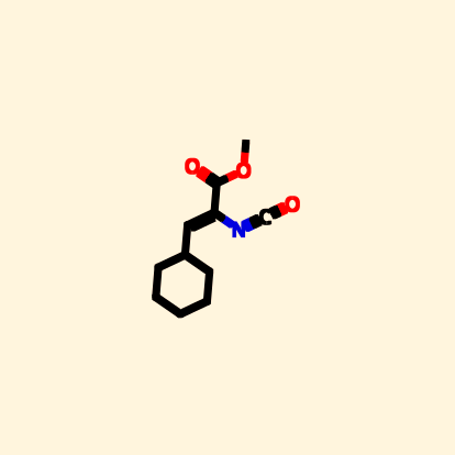 COC(=O)C(=CC1CCCCC1)N=C=O